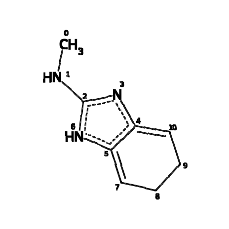 CNc1nc2c([nH]1)=CCCC=2